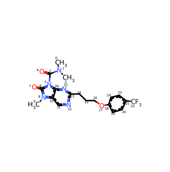 CN(C)C(=O)n1c(=O)n(C)c2cnc(CCCOc3ccc(C(F)(F)F)cc3)nc21